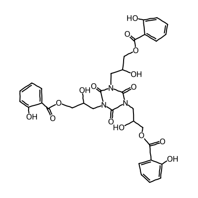 O=C(OCC(O)Cn1c(=O)n(CC(O)COC(=O)c2ccccc2O)c(=O)n(CC(O)COC(=O)c2ccccc2O)c1=O)c1ccccc1O